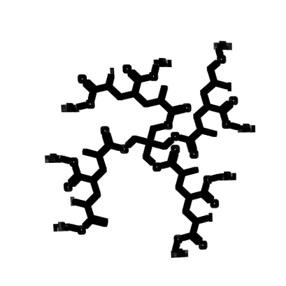 C=C(OCCCC)C(I)CC(CC(C)C(=O)OCC(COC(=O)C(C)CC(CC(I)COCCCC)C(=O)OCCCC)(COC(=O)C(C)CC(CC(I)C(=O)OCCCC)C(=O)OCCCC)COC(=O)C(C)CC(CC(I)C(=O)OCCCC)C(=O)OCCCC)C(=O)OCCCC